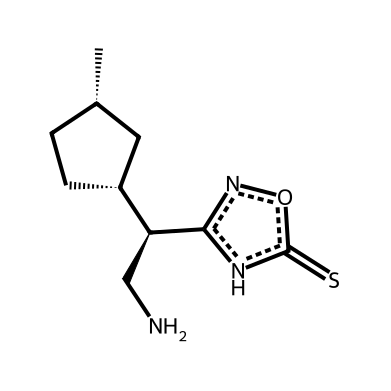 C[C@H]1CC[C@@H]([C@H](CN)c2noc(=S)[nH]2)C1